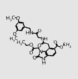 CCOC(=O)Cn1c(=O)[nH]c2ccc(C(=O)OC)c(CC(=O)NCC(=O)NCc3cc(OC)cc(OC)c3)c21